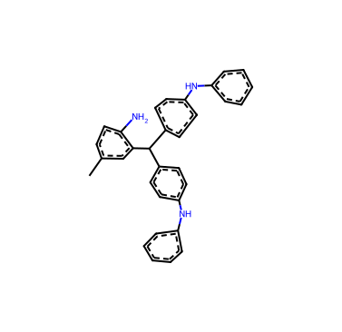 Cc1ccc(N)c(C(c2ccc(Nc3ccccc3)cc2)c2ccc(Nc3ccccc3)cc2)c1